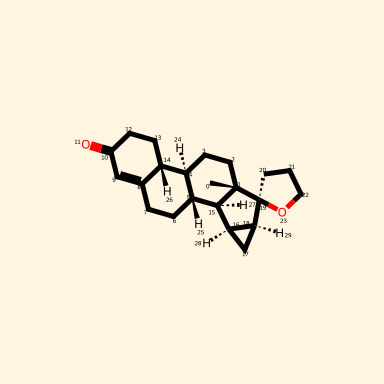 C[C@]12CC[C@H]3[C@@H](CCC4=CC(=O)CC[C@@H]43)[C@@H]1[C@@H]1C[C@@H]1[C@@]21CCCO1